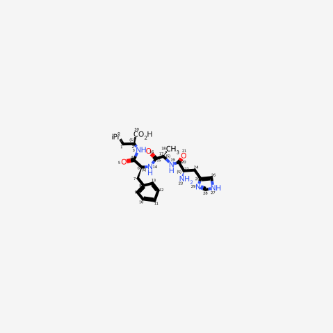 CC(C)C[C@H](NC(=O)[C@H](Cc1ccccc1)NC(=O)[C@H](C)NC(=O)[C@@H](N)Cc1c[nH]cn1)C(=O)O